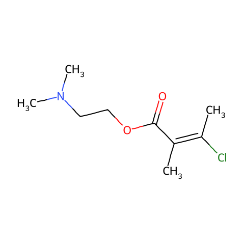 CC(Cl)=C(C)C(=O)OCCN(C)C